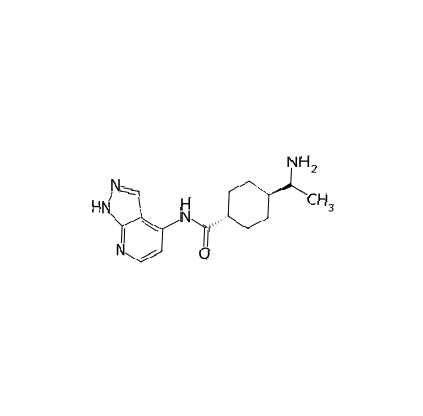 CC(N)[C@H]1CC[C@H](C(=O)Nc2ccnc3[nH]ncc23)CC1